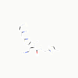 Cc1csc(CNC(=O)c2c(C=N)c3sc(CC(=N)/C=C\N)nc3n2C)n1